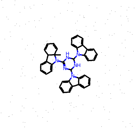 CC12C=CC=CC1c1ccccc1N2C1=NC(n2c3ccccc3c3ccccc32)NC(n2c3ccccc3c3ccccc32)N1